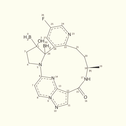 BC1(O)CCN2c3ccn4ncc(c4n3)C(=O)N[C@H](C)CCc3ncc(F)cc3C21B